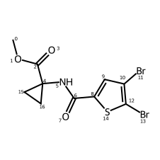 COC(=O)C1(NC(=O)c2cc(Br)c(Br)s2)CC1